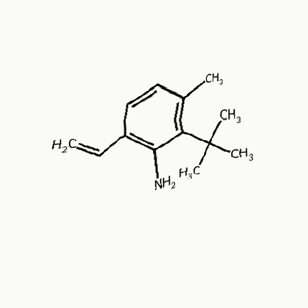 C=Cc1ccc(C)c(C(C)(C)C)c1N